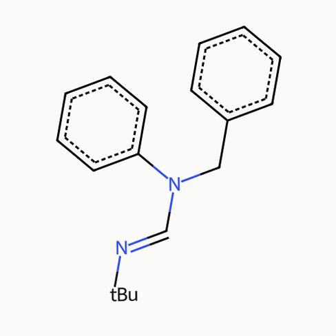 CC(C)(C)/N=C/N(Cc1ccccc1)c1ccccc1